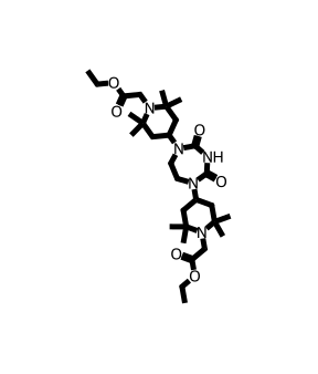 CCOC(=O)CN1C(C)(C)CC(N2CCN(C3CC(C)(C)N(CC(=O)OCC)C(C)(C)C3)C(=O)NC2=O)CC1(C)C